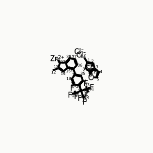 CC1=C2c3ccoc3C1[Si]2(C)C.CC1=Cc2c(-c3ccc(C(C(F)(F)F)(C(F)(F)F)C(F)(F)F)cc3)cccc2[CH]1[Zr+2].[Cl-].[Cl-]